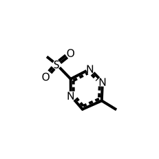 Cc1cnc(S(C)(=O)=O)nn1